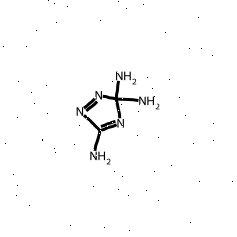 NC1=NC(N)(N)N=N1